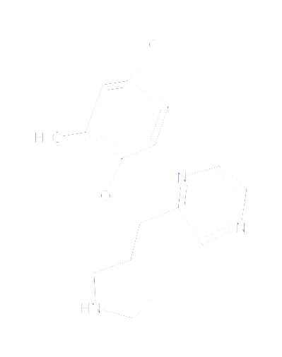 Cc1cc(Cl)ccc1O[C@H](c1cnccn1)[C@@H]1CCNC1